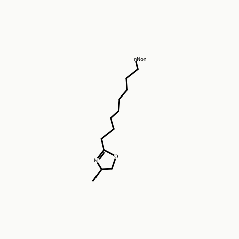 CCCCCCCCCCCCCCCCCC1=NC(C)CO1